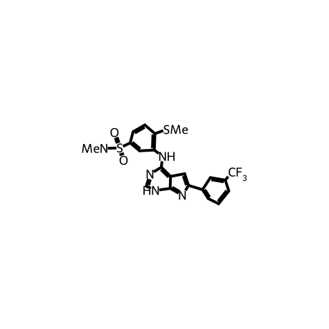 CNS(=O)(=O)c1ccc(SC)c(Nc2nc[nH]c3nc(-c4cccc(C(F)(F)F)c4)cc2-3)c1